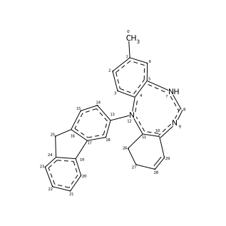 Cc1ccc2c(c1)[nH]cnc1c(n2-c2ccc3c(c2)-c2ccccc2C3)CCC=C1